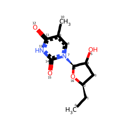 CC[C@@H]1CC(O)[C@H](n2cc(C)c(=O)[nH]c2=O)O1